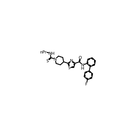 CCCNC(=S)N1CCC(c2nc(C(=O)Nc3ccccc3-c3ccc(F)cc3)cs2)CC1